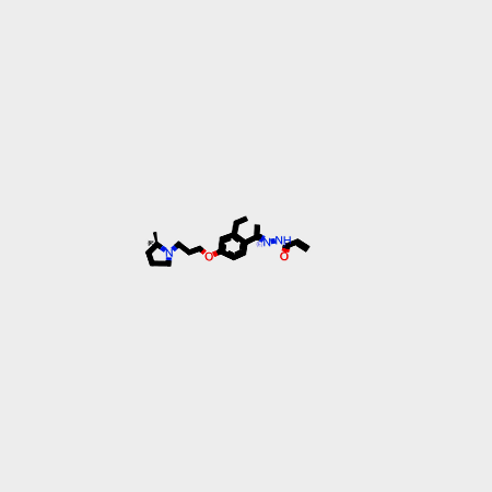 C=CC(=O)N/N=C(\C)c1ccc(OCCCN2CCC[C@H]2C)cc1CC